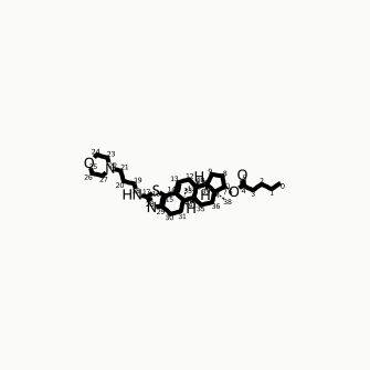 CCCCC(=O)O[C@H]1CC[C@H]2[C@@H]3CC=C4c5sc(NCCCN6CCOCC6)nc5CC[C@]4(C)[C@H]3CC[C@]12C